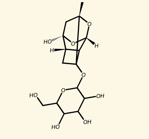 C[C@@]12C[C@@]3(O)O[C@H](O1)C1[C@@H]3CC12OC1OC(CO)C(O)C(O)C1O